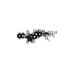 CC(C)C1=C2[C@H]3CC[C@@H]4[C@@]5(C)CC[C@H](OC(=O)CC(C)(C)C(=O)O)C(C)(C)[C@@H]5CC[C@@]4(C)[C@]3(C)CC[C@@]2([C@H](O)CN2CCc3ccccc3C2)CC1=O